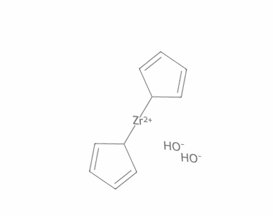 C1=C[CH]([Zr+2][CH]2C=CC=C2)C=C1.[OH-].[OH-]